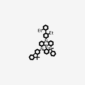 CCc1ccccc1-c1ccc(N2c3cccc4c3B3c5c2cccc5[Si](C)(c2ccccc2)c2cccc(c23)N4c2ccc3c(c2)C(C)(C)c2ccccc2-3)cc1CC